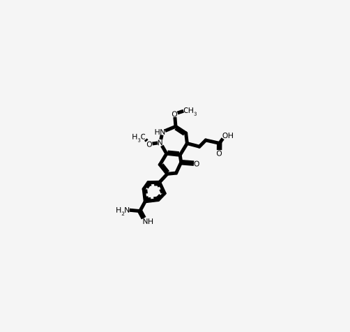 COC1=CC(CCC(=O)O)C2=C(C=C(c3ccc(C(=N)N)cc3)CC2=O)N(OC)N1